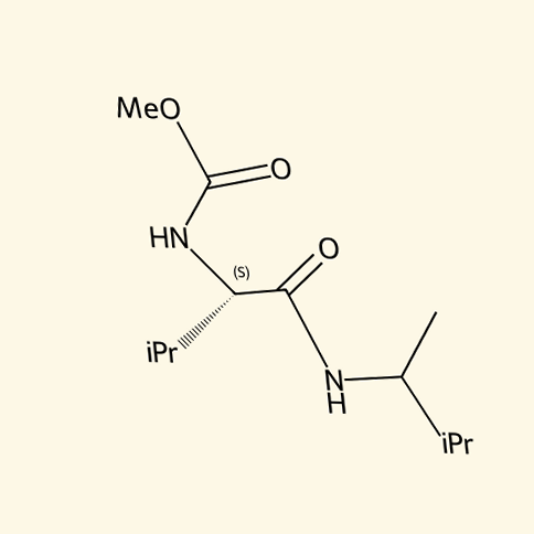 COC(=O)N[C@H](C(=O)NC(C)C(C)C)C(C)C